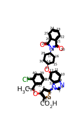 C[C@@H](Oc1cc(-n2cnc3ccc(O[C@H]4CC[C@@H](N5C(=O)c6ccccc6C5=O)CC4)cc32)sc1C(=O)O)c1ccccc1Cl